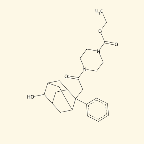 CCOC(=O)N1CCN(C(=O)CC2(c3ccccc3)C3CC4CC2CC(C3)C4O)CC1